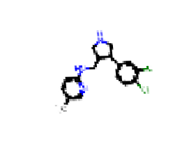 FC(F)(F)c1ccc(NCC2CNCC2c2ccc(Cl)c(Cl)c2)nc1